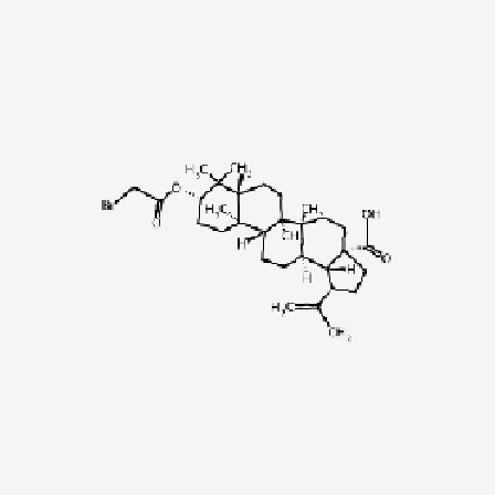 C=C(C)[C@@H]1CC[C@]2(C(=O)O)CC[C@]3(C)[C@H](CC[C@@H]4[C@@]5(C)CC[C@H](OC(=O)CBr)C(C)(C)[C@@H]5CC[C@]43C)[C@@H]12